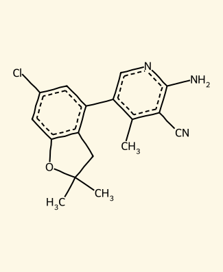 Cc1c(-c2cc(Cl)cc3c2CC(C)(C)O3)cnc(N)c1C#N